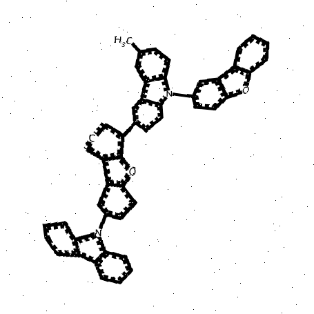 Cc1ccc2c(c1)c1cc(-c3cccc4c3oc3ccc(-n5c6ccccc6c6ccccc65)cc34)ccc1n2-c1ccc2oc3ccccc3c2c1